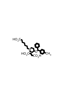 Cc1ccc(C(OC2CCN(CCCCCCC(=O)O)CC2)c2ccccc2)cc1.O=C(O)/C=C/C(=O)O